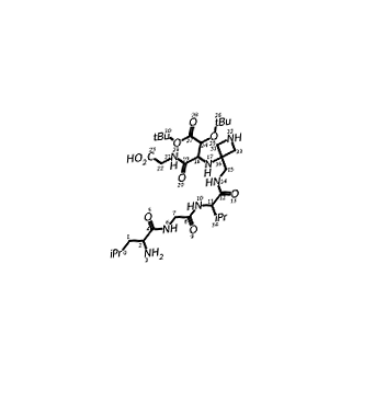 CC(C)CC(N)C(=O)NCC(=O)NC(C(=O)NCC1(NC(C(=O)NCC(=O)O)C(OC(C)(C)C)C(=O)OC(C)(C)C)CNC1)C(C)C